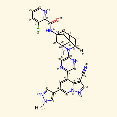 Cn1cc(-c2cc(-c3cnc(N4[C@@H]5CC6C[C@H]4CC(NC(=O)c4ncccc4Cl)(C6)C5)cn3)c3c(C#N)cnn3c2)cn1